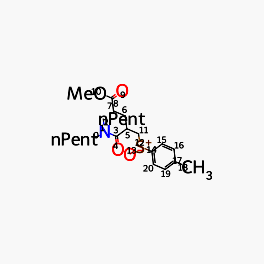 CCCCCN(CCCCC)C(=O)C(CCC(=O)OC)C[S+]([O-])c1ccc(C)cc1